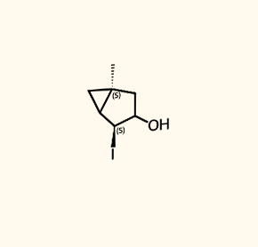 C[C@]12CC(O)[C@@H](I)C1C2